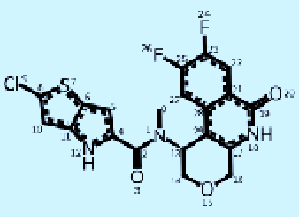 CN(C(=O)c1cc2sc(Cl)cc2[nH]1)[C@@H]1COCc2[nH]c(=O)c3cc(F)c(F)cc3c21